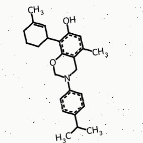 CC1=CC(c2c(O)cc(C)c3c2OCN(c2ccc(C(C)C)cc2)C3)CCC1